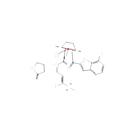 CS(=O)(=O)/C(F)=C/[C@H](C[C@H]1CCNC1=O)NC(=O)[C@H]1[C@@H]2CC[C@@H](CC2(F)F)N1C(=O)c1cc2cccc(Cl)c2[nH]1